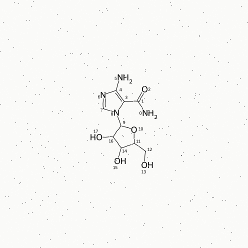 NC(=O)c1c(N)ncn1C1OC(CO)C(O)C1O